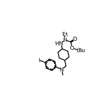 CCN(NC1CCC(CN(C)c2ccc(I)cc2)CC1)C(=O)OC(C)(C)C